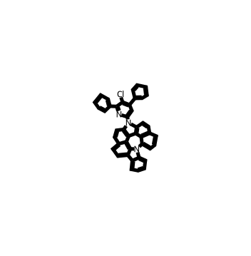 Clc1c(-c2ccccc2)cc(-n2c3ccc4cccc5c4c3c3c4c(ccc6c7ccccc7n5c64)ccc32)nc1-c1ccccc1